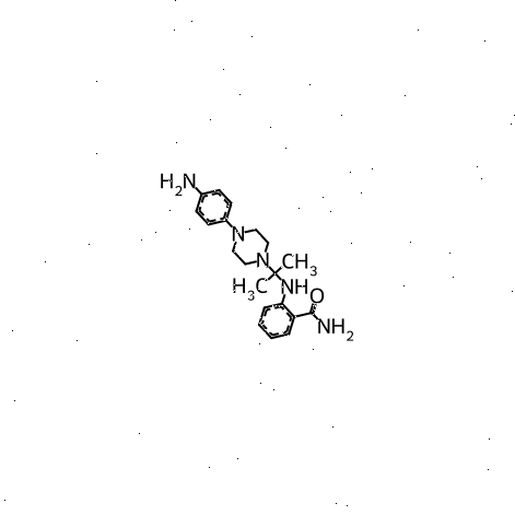 CC(C)(Nc1ccccc1C(N)=O)N1CCN(c2ccc(N)cc2)CC1